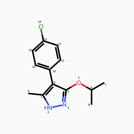 Cc1[nH]nc(OC(C)C)c1-c1ccc(Cl)cc1